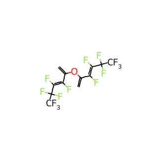 C=C(OC(=C)C(F)=C(F)C(F)(F)C(F)(F)F)C(F)=C(F)C(F)(F)C(F)(F)F